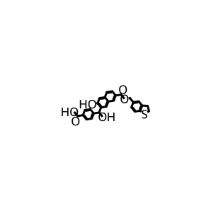 O=C(O)c1ccc(C(O)c2cc3cc(C(=O)OCc4ccc5c(c4)CCS5)ccc3cc2O)cc1